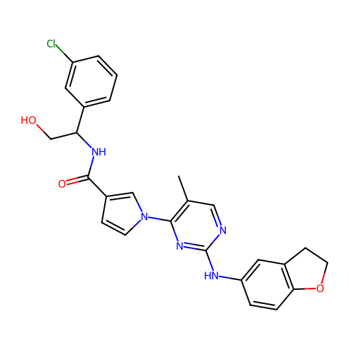 Cc1cnc(Nc2ccc3c(c2)CCO3)nc1-n1ccc(C(=O)NC(CO)c2cccc(Cl)c2)c1